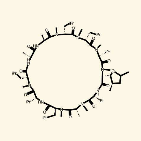 CC[C@H]1NC(=O)[C@@H](C2OC(C)C[C@H]2C)N(C)C(=O)[C@@H](C(C)C)N(C)C(=O)[C@@H](CC(C)C)N(C)C(=O)[C@@H](CC(C)C)N(C)C(=O)[C@H](C)NC(=O)[C@@H](C)NC(=O)[C@@H](CC(C)C)N(C)C(=O)[C@@H](C(C)C)NC(=O)[C@H](CC(C)C)N(C)C(=O)[C@@H](C)N(C)C1=O